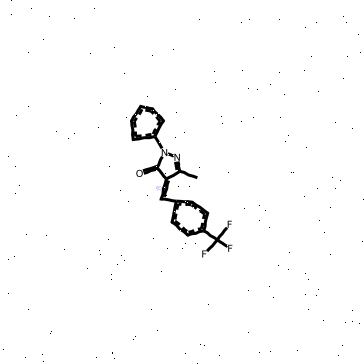 CC1=NN(c2ccccc2)C(=O)/C1=C/c1ccc(C(F)(F)F)cc1